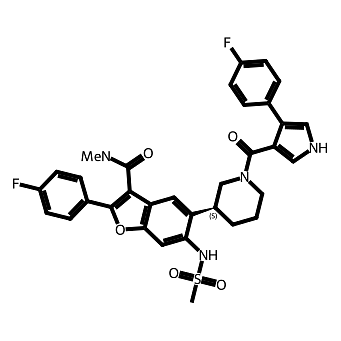 CNC(=O)c1c(-c2ccc(F)cc2)oc2cc(NS(C)(=O)=O)c([C@@H]3CCCN(C(=O)c4c[nH]cc4-c4ccc(F)cc4)C3)cc12